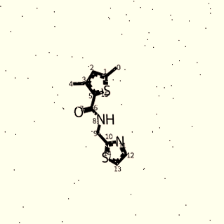 Cc1cc(C)c(C(=O)NCc2nccs2)s1